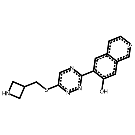 Oc1cc2cnccc2cc1-c1ncc(SCC2CNC2)nn1